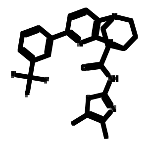 Cc1nc(NC(=O)N2c3nc(-c4cccc(C(F)(F)F)c4)ccc3N3CCC2CC3)sc1C